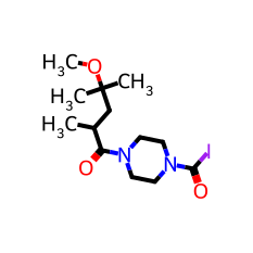 COC(C)(C)CC(C)C(=O)N1CCN(C(=O)I)CC1